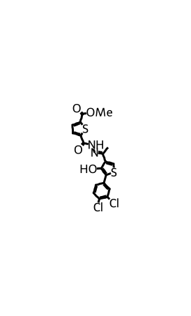 COC(=O)c1ccc(C(=O)NN=C(C)c2csc(-c3ccc(Cl)c(Cl)c3)c2O)s1